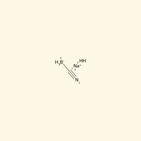 [BH3-]C#N.[HH].[Na+]